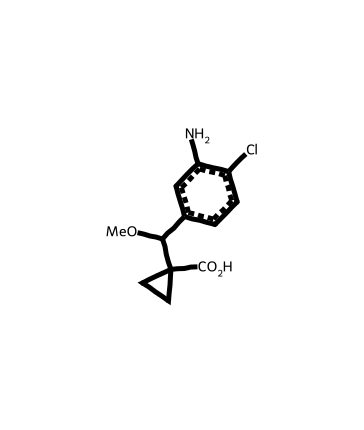 COC(c1ccc(Cl)c(N)c1)C1(C(=O)O)CC1